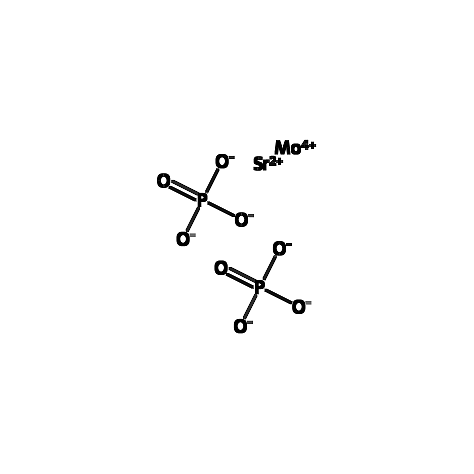 O=P([O-])([O-])[O-].O=P([O-])([O-])[O-].[Mo+4].[Sr+2]